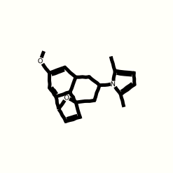 COC1=CC2CC(n3c(C)ccc3C)CC34C=CC(O3)C(=C1)C24